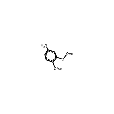 COc1ccc(N)cc1OOC(C)=O